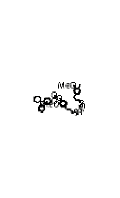 COc1cc(CCC[Si](C)(C)O[Si](C)(C)O[Si](C)(C)CCCc2ccc(OC(=O)Oc3ccc(C4(c5ccccc5)CCCCC4)cc3)c(OC)c2)ccc1C